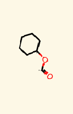 O=[C]O[C]1CCCCC1